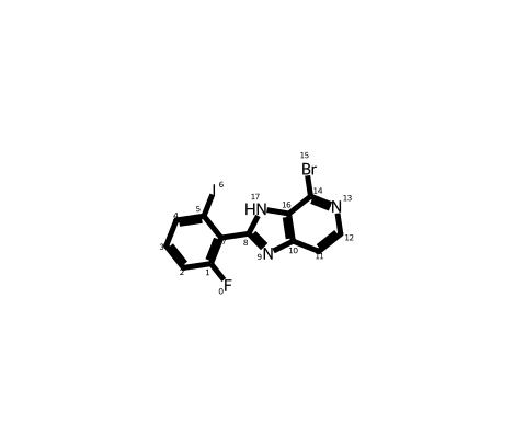 Fc1cccc(I)c1-c1nc2ccnc(Br)c2[nH]1